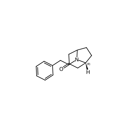 O=C1CC2CC[C@H](C1)N2CCc1ccccc1